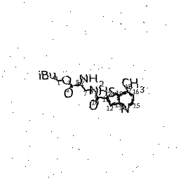 CCC(C)COC(=O)[C@H](N)CNC(=O)c1cc2nccc(C)c2s1